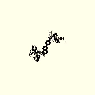 COC(=O)N[C@H](C(=O)N1CC2(C[C@H]1c1nc3ccc4cc(-c5ccc(C6=CNC([C@@H]7CCCN7C(=O)[C@@H](N)C(C)C)N6)cc5)ccc4c3[nH]1)OCCO2)C1CCOCC1